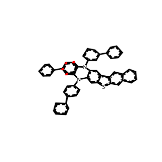 c1ccc(-c2ccc(N(c3ccccc3)c3cc4sc5cc6ccccc6cc5c4cc3N(c3ccc(-c4ccccc4)cc3)c3cccc(-c4ccccc4)c3)cc2)cc1